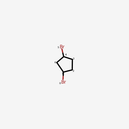 BrC1CCC(Br)C1